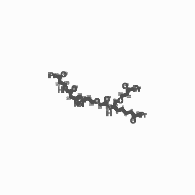 CC(C)C(=O)CCCCC(COCCC(=O)C(C)C)NC(=O)COCCn1cc(CC(=O)NCCC(=O)C(C)C)nn1